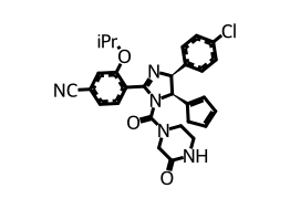 CC(C)Oc1cc(C#N)ccc1C1=N[C@@H](c2ccc(Cl)cc2)[C@@H](C2=CC=CC2)N1C(=O)N1CCNC(=O)C1